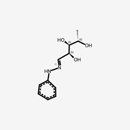 C[C@H](O)[C@H](O)[C@@H](O)/C=N/Nc1ccccc1